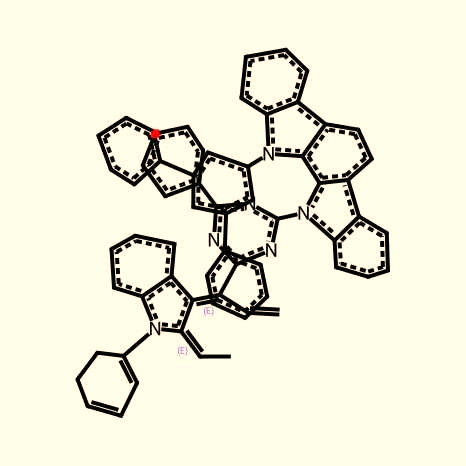 C=C/C(c1nc(-c2ccccc2)nc(-n2c3ccccc3c3ccc4c5ccccc5n(-c5cc(-c6ccccc6)cc(-c6ccccc6)c5)c4c32)n1)=c1\c(=C/C)n(C2=CC=CCC2)c2ccccc12